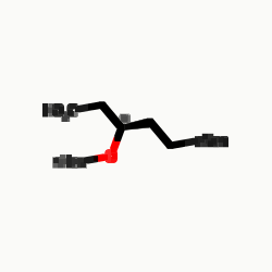 CCCCCCCCCCC[C@H](CC(=O)O)OCCCCCC